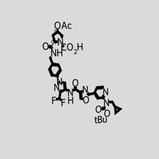 CC(=O)O[C@@H]1C[C@@H](C(=O)NCc2ccc(-n3cc(NC(=O)c4coc(-c5ccnc(N(CC6CC6)C(=O)OC(C)(C)C)c5)n4)c(C(F)F)n3)cc2)N(C(=O)O)C1